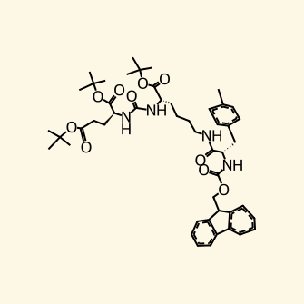 Cc1ccc(C[C@H](NC(=O)OCC2c3ccccc3-c3ccccc32)C(=O)NCCCC[C@H](NC(=O)N[C@@H](CCC(=O)OC(C)(C)C)C(=O)OC(C)(C)C)C(=O)OC(C)(C)C)cc1